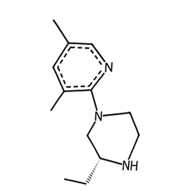 CC[C@@H]1CN(c2ncc(C)cc2C)CCN1